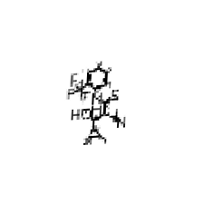 N#CC(C(=S)Nc1ccccc1C(F)(F)F)=C(O)C1CC1